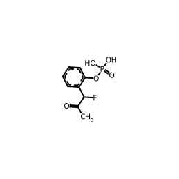 CC(=O)C(F)c1ccccc1OP(=O)(O)O